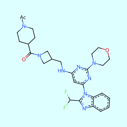 CC(=O)N1CCC(C(=O)N2CC(CNc3cc(-n4c(C(F)F)nc5ccccc54)nc(N4CCOCC4)n3)C2)CC1